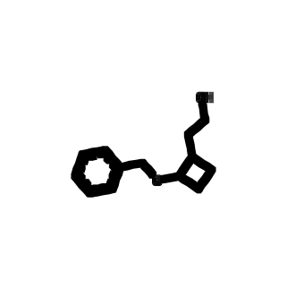 OCCC1CCC1OCc1ccccc1